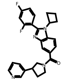 O=C(c1ccc2c(c1)nc(-c1ccc(F)cc1F)n2C1CCC1)N1CCC(c2cccnc2)C1